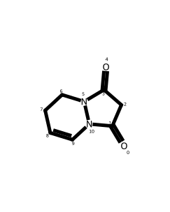 O=C1CC(=O)N2CCC=CN12